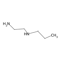 CC[CH]NCCN